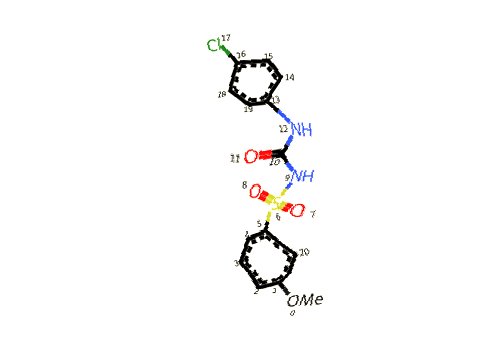 COc1cccc(S(=O)(=O)NC(=O)Nc2ccc(Cl)cc2)c1